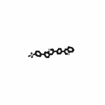 C[Si](C)(C)c1ccc(-c2ccc3cc(-c4ccc(-c5cnc6ccccc6c5)cc4)cnc3c2)cc1